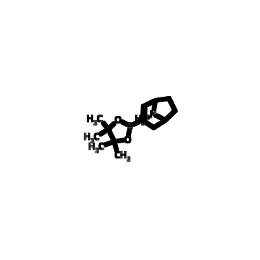 CC1(C)OB(C2=CC3CCC(C2)N3P)OC1(C)C